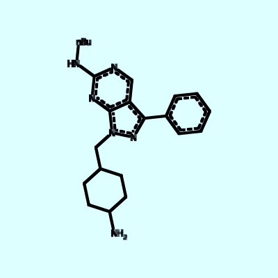 CCCCNc1ncc2c(-c3ccccc3)nn(CC3CCC(N)CC3)c2n1